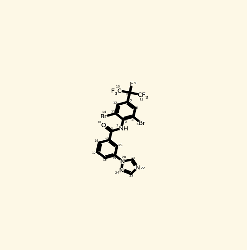 O=C(Nc1c(Br)cc(C(F)(C(F)(F)F)C(F)(F)F)cc1Br)c1cccc(-n2cncn2)c1